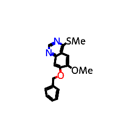 COc1cc2c(SC)ncnc2cc1OCc1ccccc1